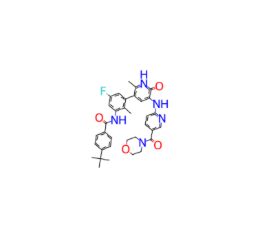 Cc1[nH]c(=O)c(Nc2ccc(C(=O)N3CCOCC3)cn2)cc1-c1cc(F)cc(NC(=O)c2ccc(C(C)(C)C)cc2)c1C